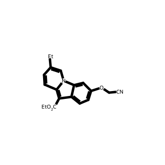 CCOC(=O)c1c2ccc(OCC#N)cc2n2cc(CC)ccc12